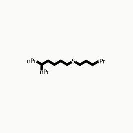 CCCC(CCC)CCCCSCCCC(C)C